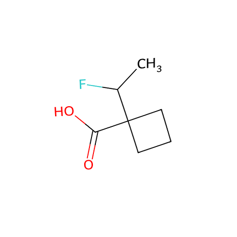 CC(F)C1(C(=O)O)CCC1